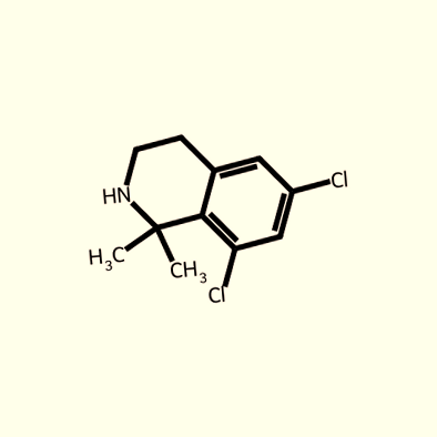 CC1(C)NCCc2cc(Cl)cc(Cl)c21